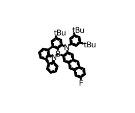 CC(C)(C)c1cc(N2c3cc4cc5ccc(F)cc5cc4cc3B3c4c(cc(C(C)(C)C)cc42)-c2cccc4c5ccccc5n3c24)cc(C(C)(C)C)c1